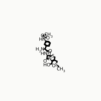 CCSCC1=C(C(=O)O)N2C(=O)C(NC(=O)C(N)c3cccc(NS(C)(=O)=O)c3)[C@@H]2SC1